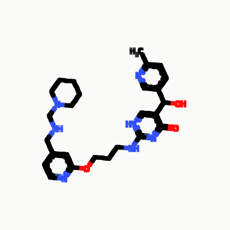 Cc1ccc(C(O)c2c[nH]c(NCCCOc3cc(CNCN4CCCCC4)ccn3)nc2=O)cn1